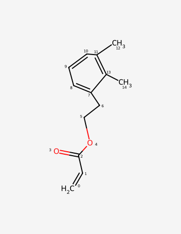 C=CC(=O)OCCc1cccc(C)c1C